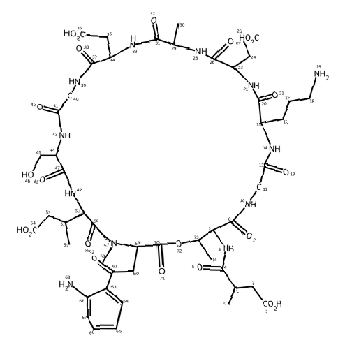 CC(CC(=O)O)C(=O)NC1C(=O)NCC(=O)NC(CCCN)C(=O)NC(CC(=O)O)C(=O)NC(C)C(=O)NC(CC(=O)O)C(=O)NCC(=O)NC(CO)C(=O)NC(C(C)CC(=O)O)C(=O)N(C)C(CC(=O)c2ccccc2N)C(=O)OC1C